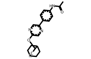 CC(=O)Nc1ccc(-c2cnc(OC3CN4CCC3CC4)cn2)cc1